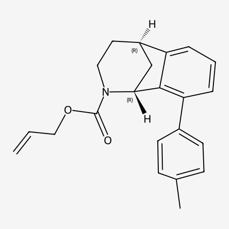 C=CCOC(=O)N1CC[C@@H]2C[C@@H]1c1c(-c3ccc(C)cc3)cccc12